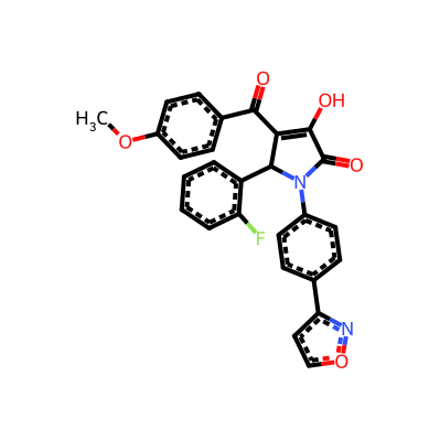 COc1ccc(C(=O)C2=C(O)C(=O)N(c3ccc(-c4ccon4)cc3)C2c2ccccc2F)cc1